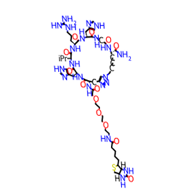 CC(C)[C@@H]1NC(=O)[C@H](Cc2c[nH]cn2)NC(=O)[C@@H](NC(=O)COCCOCCOCCNC(=O)CCCCC2SC[C@H]3NC(=O)N[C@@H]23)Cc2cn(nn2)CCCC[C@@H](C(N)=O)NC(=O)CNC(=O)[C@H](Cc2c[nH]cn2)NC(=O)[C@H](CCCNC(=N)N)NC1=O